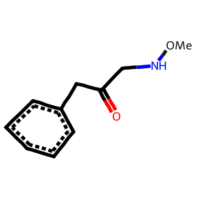 CONCC(=O)Cc1ccccc1